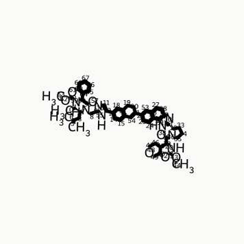 CC[C@H](CC(C)C)N(Cc1ncc(-c2ccc3c(c2)CCC(c2ccc4c(ccc5nc([C@@H]6CCCN6C(=O)[C@@H](NC(=O)OC)C6CCOCC6)[nH]c54)c2)=C3)[nH]1)C(=O)C(NC(=O)OC)c1ccccc1